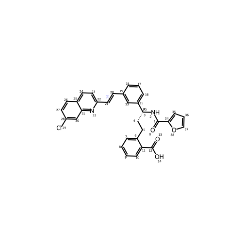 O=C(N[C@H](CCc1ccccc1C(=O)O)c1cccc(/C=C/c2ccc3ccc(Cl)cc3n2)c1)c1ccco1